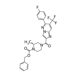 C[C@H]1CN(C(=O)c2cn3nc(-c4ccc(F)cc4)c(C(F)(F)F)cc3n2)CCN1C(=O)OCc1ccccc1